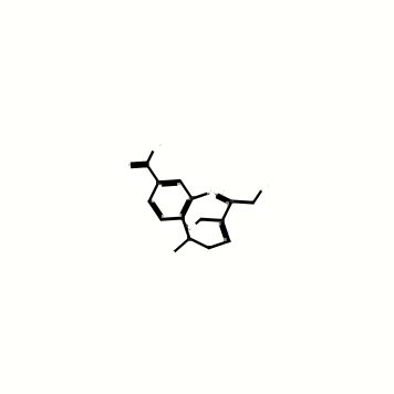 CC1C/C=C(CBr)/C(CBr)=N\c2cc(C(=O)O)ccc21